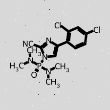 CN(C)P(=O)(N(C)C)n1cc(-c2ccc(Cl)cc2Cl)nc1C#N